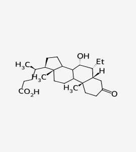 CC[C@H]1[C@@H](O)C2C3CC[C@H]([C@H](C)CCC(=O)O)[C@@]3(C)CCC2[C@@]2(C)CCC(=O)C[C@@H]12